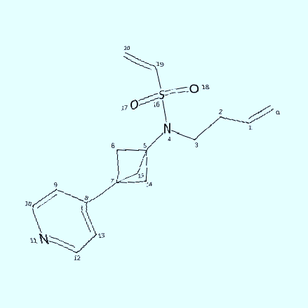 C=CCCN(C12CC(c3ccncc3)(C1)C2)S(=O)(=O)C=C